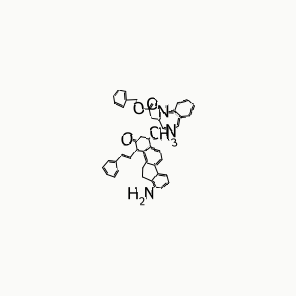 CC1CC(=O)C(CCc2ccccc2)c2c1ccc1c2CCc2c(N)cccc2-1.O=C(CC1C=NC=c2ccccc2=N1)OCc1ccccc1